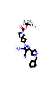 CC(C)(C)OC(=O)N1CC[C@]2(C1)C[C@H](n1nc(-c3cnn(Cc4ccccc4)c3)c(C#N)c1N)C2